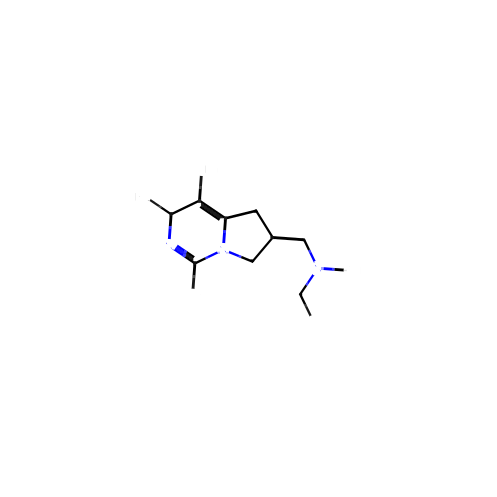 CCOC(=O)CN(C)CC1CC2=C(C(C)(C)C)C(C(C)(C)C)N=C(C(C)(C)C)N2C1